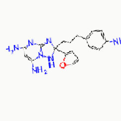 NC1=CC(N)=NC2=NC(CCCc3ccc(N)cc3)(c3ccco3)NN12